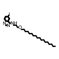 CCCCCCCCCCCCCCCCCCOCCCNc1ncnc2ccc(I)cc12